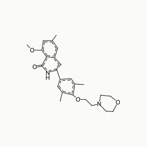 COc1cc(C)cc2cc(-c3cc(C)c(OCCN4CCOCC4)c(C)c3)[nH]c(=O)c12